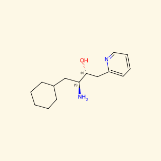 N[C@@H](CC1CCCCC1)[C@H](O)Cc1ccccn1